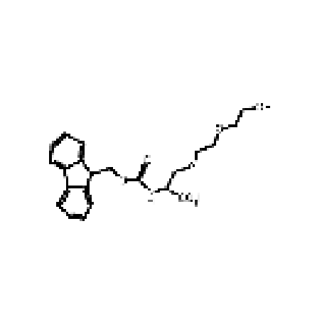 O=C(N[C@@H](CSCCOCCO)C(=O)O)OCC1c2ccccc2-c2ccccc21